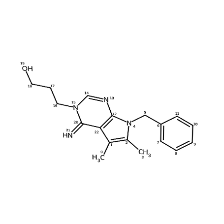 Cc1c(C)n(Cc2ccccc2)c2ncn(CCCO)c(=N)c12